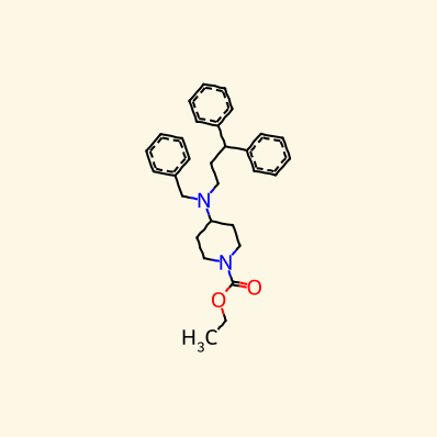 CCOC(=O)N1CCC(N(CCC(c2ccccc2)c2ccccc2)Cc2ccccc2)CC1